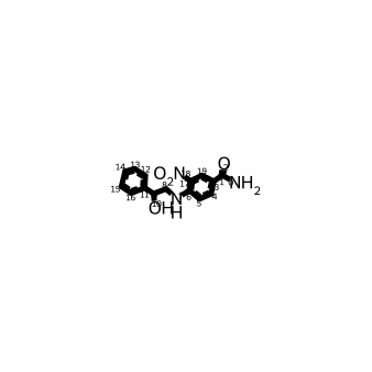 NC(=O)c1ccc(NCC(O)c2ccccc2)c([N+](=O)[O-])c1